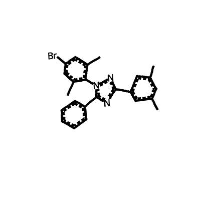 Cc1cc(C)cc(-c2nc(-c3ccccc3)n(-c3c(C)cc(Br)cc3C)n2)c1